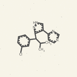 CC(C)C(c1cccc(Cl)c1)c1n[nH]cc1-c1ccncn1